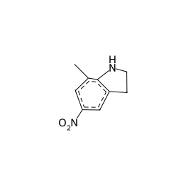 Cc1cc([N+](=O)[O-])cc2c1NCC2